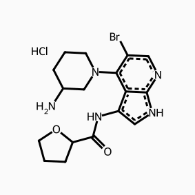 Cl.NC1CCCN(c2c(Br)cnc3[nH]cc(NC(=O)C4CCCO4)c23)C1